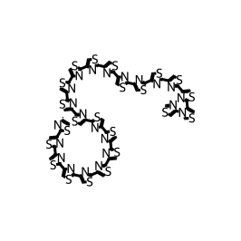 [c]1csc(-c2csc(-c3csc(-c4csc(-c5csc(-c6csc(-c7csc(-c8csc(-c9csc(-c%10csc(-c%11csc(-c%12csc(-c%13csc(-c%14csc(-c%15csc(-c%16csc(-c%17csc(-c%18csc(-c%19csc(-c%20csc(C%21=CSCN%21c%21cscn%21)n%20)n%19)n%18)n%17)n%16)n%15)n%14)n%13)n%12)n%11)n%10)n9)n8)n7)n6)n5)n4)n3)n2)n1